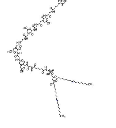 CCCCCCCC/C=C/CCCCCCCC(=O)OCC(COP(=O)(O)OCNC(=O)CCCCC(=O)NCC(=O)NCC(=O)N(CC(=O)O)CC(=O)NCC(=O)NCC(=O)N(CC(=O)O)CC(=O)NCCNC(=O)CN(CC(=O)O)C(=O)CNC(=O)CNC(=O)CN(CC(=O)O)C(=O)CNC(=O)CNC(=O)CCCCC1SC[C@@H]2NC(=O)N[C@H]12)OC(=O)CCCCCCC/C=C/CCCCCCCC